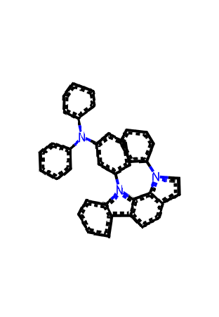 c1ccc(N(c2ccccc2)c2cccc(-n3c4ccccc4c4ccc5ccn(-c6ccccc6)c5c43)c2)cc1